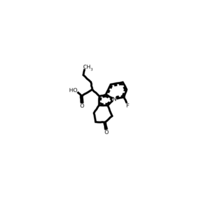 CCCC(C(=O)O)c1c2c(n3c(F)cccc13)CC(=O)CC2